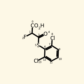 O=C(O)C(F)C(=O)Sc1c(Cl)cccc1Cl